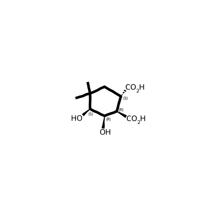 CC1(C)C[C@H](C(=O)O)[C@@H](C(=O)O)[C@@H](O)[C@H]1O